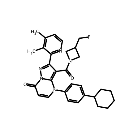 Cc1ccnc(-c2nn3c(=O)ccn(-c4ccc(C5CCCCC5)cc4)c3c2C(=O)N2CC(CF)C2)c1C